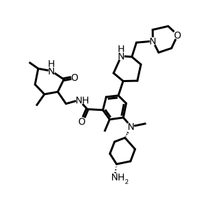 Cc1c(C(=O)NCC2C(=O)NC(C)CC2C)cc(C2CCC(CN3CCOCC3)NC2)cc1N(C)[C@H]1CC[C@@H](N)CC1